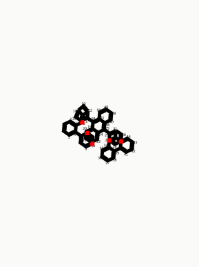 C(c1ccccc1-c1ccccc1)=c1c2ccc(-c3c4ccccc4c(-c4ccc5cc4c5=Cc4ccccc4-c4ccccc4)c4ccccc34)c1=C2